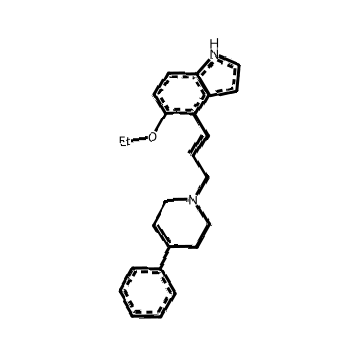 CCOc1ccc2[nH]ccc2c1C=CCN1CC=C(c2ccccc2)CC1